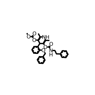 COC(=O)OC1=C(C)NC(C)=C(OC(=O)NCCc2ccccc2)C1c1ccccc1OCc1ccccc1